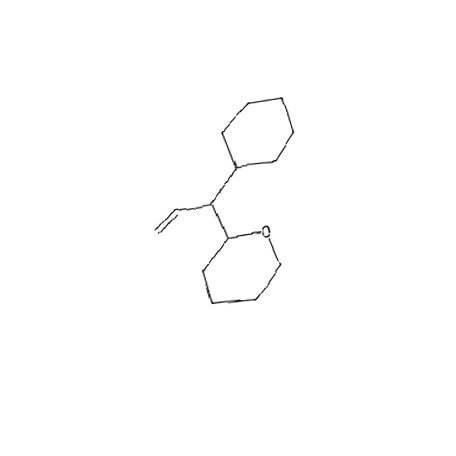 C=CC(C1CCCCC1)C1CCCCO1